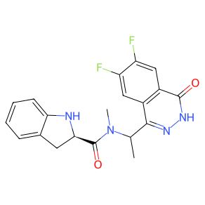 CC(c1n[nH]c(=O)c2cc(F)c(F)cc12)N(C)C(=O)[C@H]1Cc2ccccc2N1